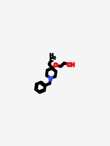 CCC1(OCCO)CCN(Cc2ccccc2)CC1